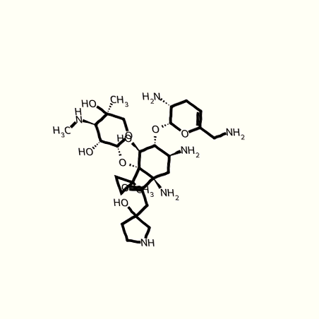 CN[C@@H]1[C@@H](O)[C@@H](O[C@]2(C3(C)CC3)[C@@H](O)[C@H](O[C@H]3OC(CN)=CC[C@H]3N)[C@@H](N)C[C@]2(N)C(=O)CC2(O)CCNC2)OC[C@]1(C)O